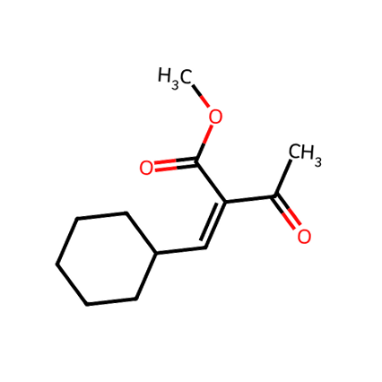 COC(=O)/C(=C\C1CCCCC1)C(C)=O